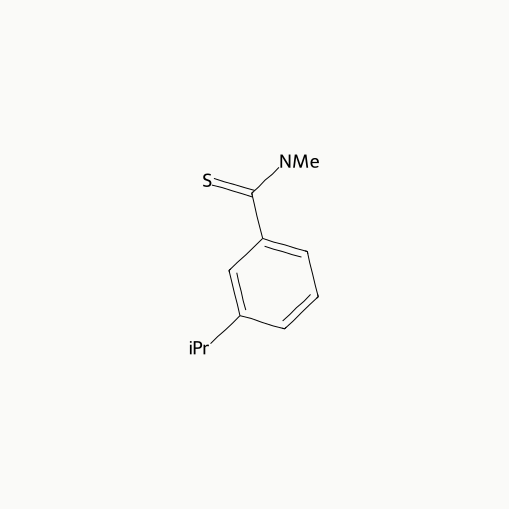 CNC(=S)c1cccc(C(C)C)c1